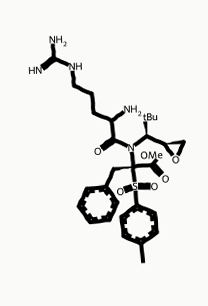 COC(=O)[C@@](Cc1ccccc1)(N(C(=O)C(N)CCCNC(=N)N)[C@H]([C@H]1CO1)C(C)(C)C)S(=O)(=O)c1ccc(C)cc1